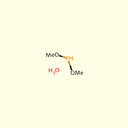 COPOC.O